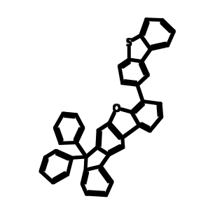 c1ccc(C2(c3ccccc3)c3ccccc3-c3cc4c(cc32)oc2c(-c3ccc5sc6ccccc6c5c3)cccc24)cc1